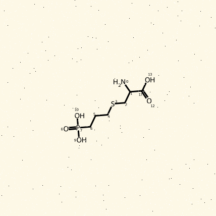 NC(CSCCCP(=O)(O)O)C(=O)O